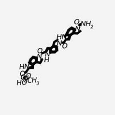 CP(=O)(O)OC(=O)c1cc2c3c(ccc2[nH]1)N(C(=O)c1cc2c4c(ccc2[nH]1)N(C(=O)c1cc2c5c(ccc2[nH]1)N(C(N)=O)CC5)CC4)CC3